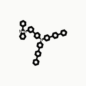 c1ccc(-c2ccc(-c3ccc(N(c4ccc(-c5ccc(-c6ccccc6)cc5)cc4)c4ccc(-c5cccc(-n6c(-c7ccccc7)nc7ccccc76)c5)cc4)cc3)cc2)cc1